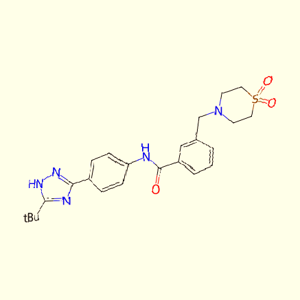 CC(C)(C)c1nc(-c2ccc(NC(=O)c3cccc(CN4CCS(=O)(=O)CC4)c3)cc2)n[nH]1